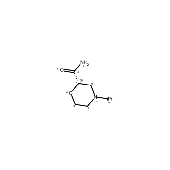 CC(C)N1CCO[C@H](C(N)=O)C1